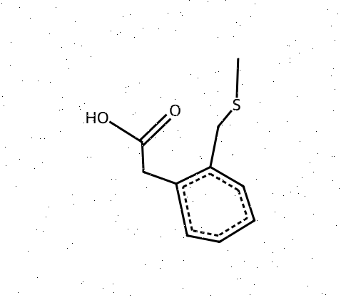 CSCc1ccccc1CC(=O)O